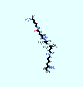 CC(=O)C(N)CCCCNC(=O)CCc1cn(C(C)(C)COC(C)(C)CCC(=O)NCCCCC(N)C(=O)C(C)C)nn1